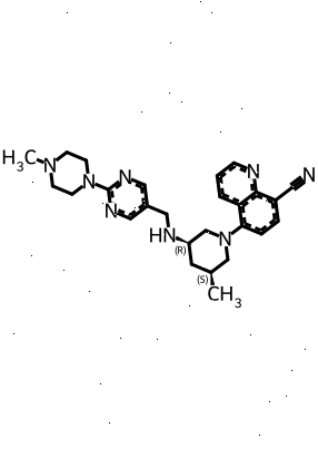 C[C@H]1C[C@@H](NCc2cnc(N3CCN(C)CC3)nc2)CN(c2ccc(C#N)c3ncccc23)C1